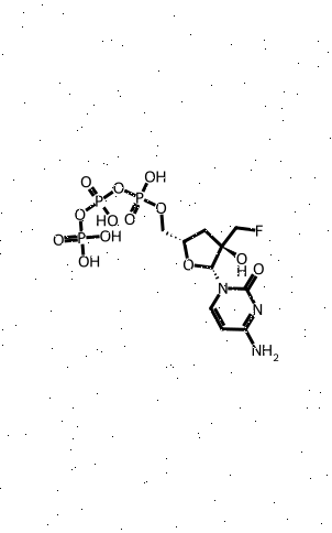 Nc1ccn([C@@H]2O[C@H](COP(=O)(O)OP(=O)(O)OP(=O)(O)O)C[C@]2(O)CF)c(=O)n1